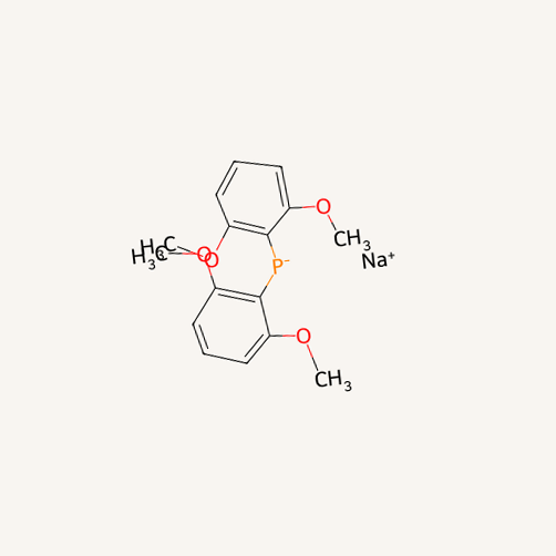 COc1cccc(OC)c1[P-]c1c(OC)cccc1OC.[Na+]